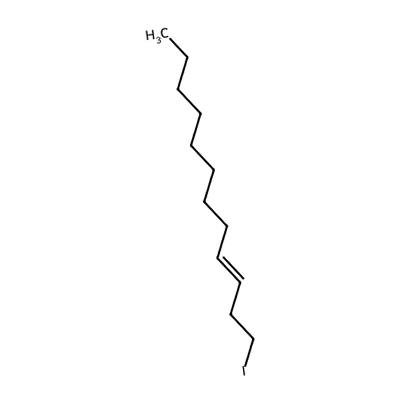 CCCCCCCCC=CCCI